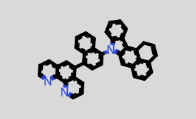 C1=Cc2cccc3cc4c(c(c23)C1)c1ccccc1n4-c1ccc(-c2cc3cccnc3c3ncccc23)c2ccccc12